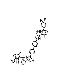 COC(=O)N[C@H](C(=O)N1CCC[C@H]1c1nc(-c2ccc(-c3ccc(C4CNC(C(NC(=O)C5CCC(F)(F)CC5)C(C)C)=N4)cc3)cc2)c[nH]1)C(C)C